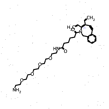 C=C/C1=C(\C=C)N(C(=O)CCCCC(=O)NCCOCCOCCOCCOCCN)Cc2ccccc2C#C1